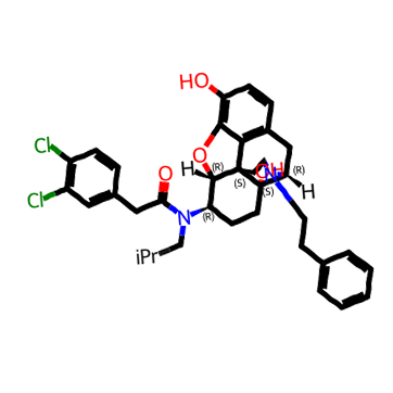 CC(C)CN(C(=O)Cc1ccc(Cl)c(Cl)c1)[C@@H]1CC[C@@]2(O)[C@H]3Cc4ccc(O)c5c4[C@@]2(CCN3CCc2ccccc2)[C@H]1O5